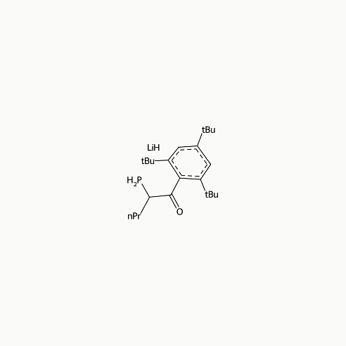 [CH2]CCC(P)C(=O)c1c(C(C)(C)C)cc(C(C)(C)C)cc1C(C)(C)C.[LiH]